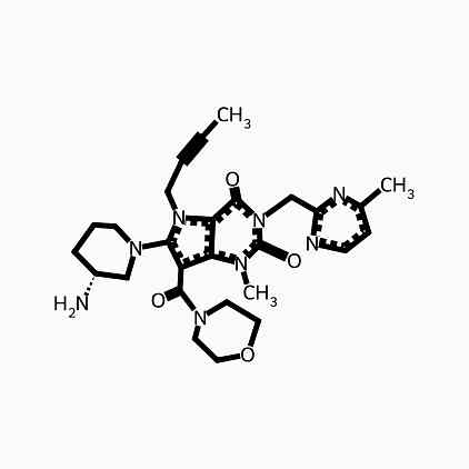 CC#CCn1c(N2CCC[C@@H](N)C2)c(C(=O)N2CCOCC2)c2c1c(=O)n(Cc1nccc(C)n1)c(=O)n2C